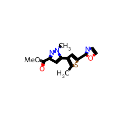 COC(=O)c1cc(-c2cc(-c3ncco3)sc2C)n(C)n1